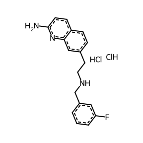 Cl.Cl.Nc1ccc2ccc(CCNCc3cccc(F)c3)cc2n1